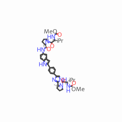 COC(=O)N[C@H](C(=O)N1CCC[C@H]1C(=O)Nc1ccc2[nH]c(-c3ccc(-c4c[nH]c([C@]5(C)CCCN5C(=O)[C@@H](NC(=O)OC)C(C)C)n4)cc3)cc2c1)C(C)C